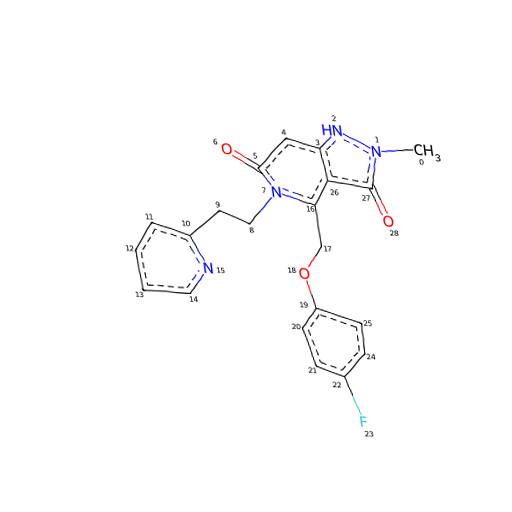 Cn1[nH]c2cc(=O)n(CCc3ccccn3)c(COc3ccc(F)cc3)c2c1=O